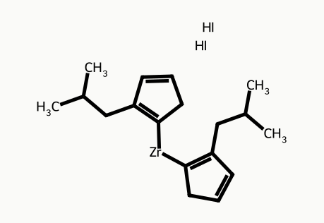 CC(C)CC1=[C]([Zr][C]2=C(CC(C)C)C=CC2)CC=C1.I.I